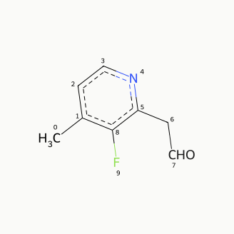 Cc1ccnc(CC=O)c1F